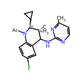 CC(=O)N1c2ccc(F)cc2C(Nc2nccc(C)n2)[C@@H](C)[C@@H]1C1CC1